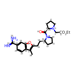 CCOC(=O)CN1CCC[C@@H]1C(=O)N1CCC[C@H]1CCc1oc2cc(C(=N)N)ccc2c1C